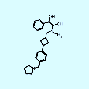 C[C@H]([C@H](O)c1ccccc1)N(C)C[C@H]1C[C@H](c2ccc(CN3CCCC3)cc2)C1